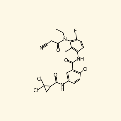 CCN(C(=O)CC#N)c1c(F)ccc(NC(=O)c2cc(NC(=O)C3CC3(Cl)Cl)ccc2Cl)c1F